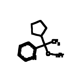 CCCOC(c1ccccn1)(C1CCCC1)C(F)(F)F